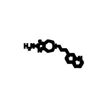 Nc1nc2c(s1)CCN(CC=Cc1ccc3cccnc3c1)CC2